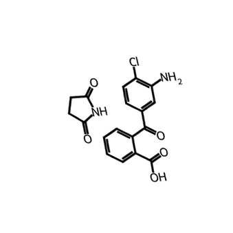 Nc1cc(C(=O)c2ccccc2C(=O)O)ccc1Cl.O=C1CCC(=O)N1